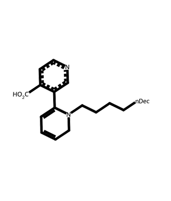 CCCCCCCCCCCCCCN1CC=CC=C1c1cnccc1C(=O)O